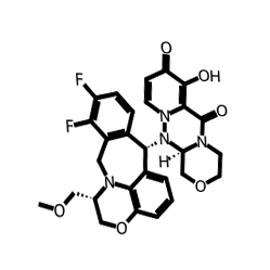 COC[C@H]1COc2cccc3c2N1Cc1c(ccc(F)c1F)[C@@H]3N1[C@@H]2COCCN2C(=O)c2c(O)c(=O)ccn21